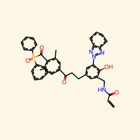 C=CC(=O)NCc1cc(CCC(=O)c2cc(C)c(C(=O)P(=O)(c3ccccc3)c3ccccc3)c(C)c2)cc(-n2nc3ccccc3n2)c1O